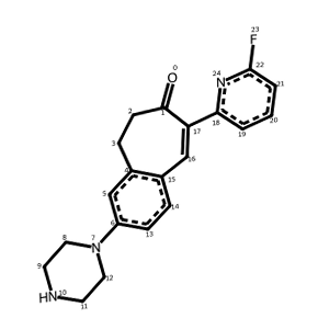 O=C1CCc2cc(N3CCNCC3)ccc2C=C1c1cccc(F)n1